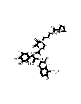 O=C(O)c1c(F)ccc2c1OB(O)[C@@H](NC(=O)C(NC(=O)N1CCN(CCCNC(=O)C3CCCN3)C(=O)C1=O)c1cc(F)c(O)c(O)c1Cl)C2